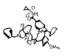 COc1ccc2c(c1)C1CC1(C(=O)N1CCC[C@H]3CN(Cc4ccccc4)C[C@H]31)Cn1c-2c(C2CCCCC2)c2ccc(C(=O)NS(=O)(=O)C3CC3)cc21